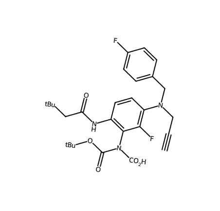 C#CCN(Cc1ccc(F)cc1)c1ccc(NC(=O)CC(C)(C)C)c(N(C(=O)O)C(=O)OC(C)(C)C)c1F